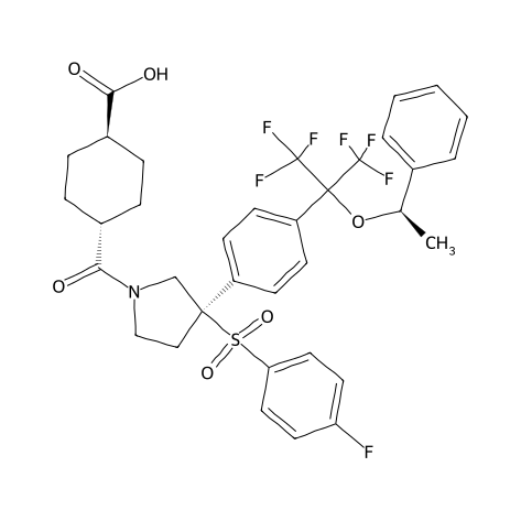 C[C@@H](OC(c1ccc([C@]2(S(=O)(=O)c3ccc(F)cc3)CCN(C(=O)[C@H]3CC[C@H](C(=O)O)CC3)C2)cc1)(C(F)(F)F)C(F)(F)F)c1ccccc1